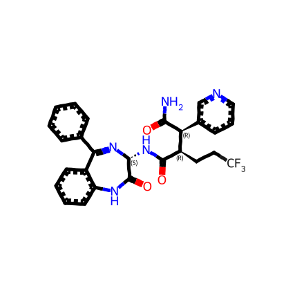 NC(=O)[C@@H](c1cccnc1)[C@@H](CCC(F)(F)F)C(=O)N[C@H]1N=C(c2ccccc2)c2ccccc2NC1=O